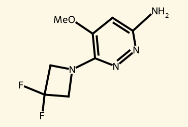 COc1cc(N)nnc1N1CC(F)(F)C1